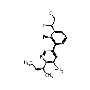 C/C=C(/C)c1ncc(-c2cccc(C(F)CF)c2F)cc1C